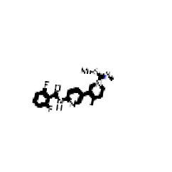 C/N=C(/SC)N1CCC(C)=C(c2ccc(NC(=O)c3c(F)cccc3F)nc2)C1